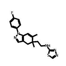 CC1=Cc2c(cnn2-c2ccc(F)cc2)CC1(C)CCNc1nncs1